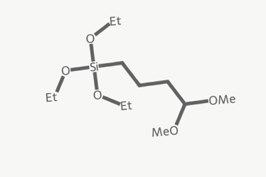 CCO[Si](CCCC(OC)OC)(OCC)OCC